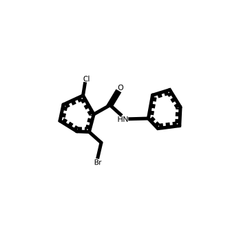 O=C(Nc1ccccc1)c1c(Cl)cccc1CBr